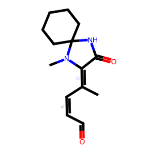 CC(/C=C\C=O)=C1\C(=O)NC2(CCCCC2)N1C